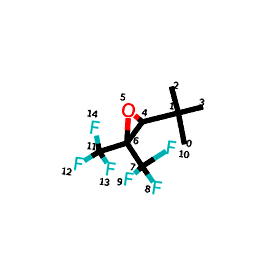 CC(C)(C)C1OC1(C(F)(F)F)C(F)(F)F